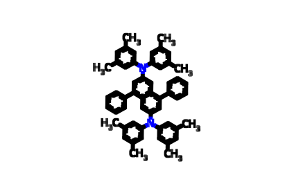 Cc1cc(C)cc(N(c2cc(C)cc(C)c2)c2cc(-c3ccccc3)c3cc(N(c4cc(C)cc(C)c4)c4cc(C)cc(C)c4)cc(-c4ccccc4)c3c2)c1